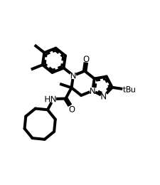 Cc1ccc(N2C(=O)c3cc(C(C)(C)C)nn3CC2(C)C(=O)NC2CCCCCCC2)cc1C